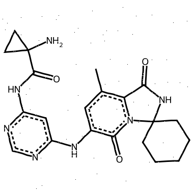 Cc1cc(Nc2cc(NC(=O)C3(N)CC3)ncn2)c(=O)n2c1C(=O)NC21CCCCC1